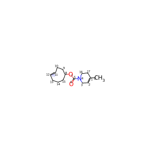 CC1=CCN(C(=O)OC2CC/C=C/CCC2)CC1